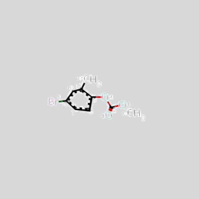 COC(=O)Oc1ccc(Br)cc1C